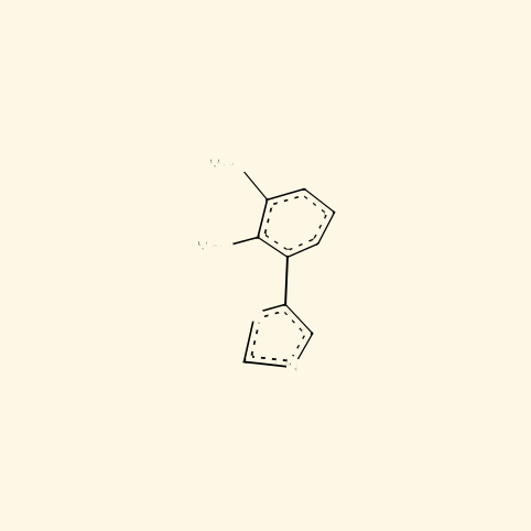 COc1cccc(-c2cn[c]o2)c1OC